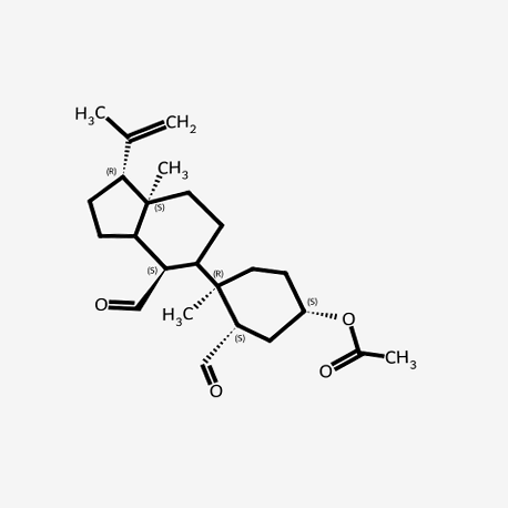 C=C(C)[C@H]1CCC2[C@H](C=O)C([C@@]3(C)CC[C@H](OC(C)=O)C[C@@H]3C=O)CC[C@@]21C